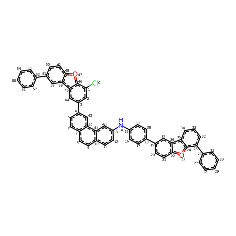 Clc1cc(-c2ccc3ccc4ccc(Nc5ccc(-c6ccc7oc8c(-c9ccccc9)cccc8c7c6)cc5)cc4c3c2)cc2c1oc1ccc(-c3ccccc3)cc12